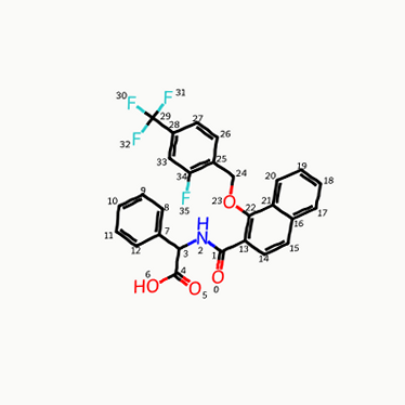 O=C(NC(C(=O)O)c1ccccc1)c1ccc2ccccc2c1OCc1ccc(C(F)(F)F)cc1F